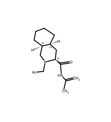 C=C(C)NC(=O)[C@@H]1C[C@@H]2CCCC[C@@H]2CN1CC(C)=O